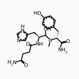 CN(C(O)[C@H](Cc1cnc[nH]1)NC(=O)CCC(N)=O)[C@H](Cc1ccc(O)cc1)C(N)=O